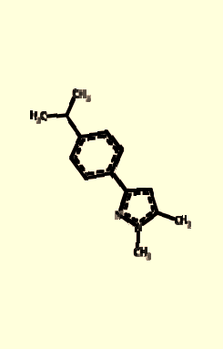 Cc1cc(-c2ccc(C(C)C)cc2)nn1C